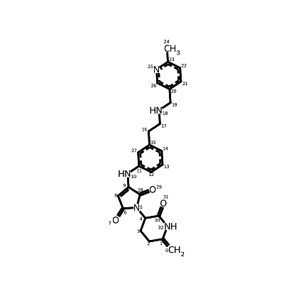 C=C1CCC(N2C(=O)C=C(Nc3cccc(CCNCc4ccc(C)nc4)c3)C2=O)C(=O)N1